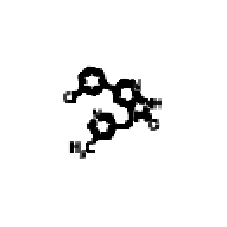 Cc1cncc(Cn2c(=O)[nH]c3ncc(-c4cccc(Cl)c4)cc32)c1